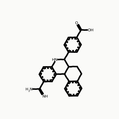 N=C(N)c1ccc2c(c1)C1c3ccccc3CCC1C(c1ccc(C(=O)O)cc1)N2